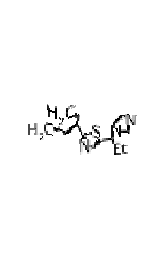 C=C/C=C(\C=C)c1ncc(C(CC)n2ccnc2)s1